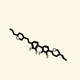 C/C=C/C1CCC(c2ccc(-c3ccc(CCC4CCC(CCC)OC4)c(F)c3F)c(F)c2F)OC1